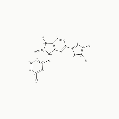 Cc1cc(-c2cnc3c(c2)n(Cc2cncc(Cl)c2)c(=O)n3C)sc1Cl